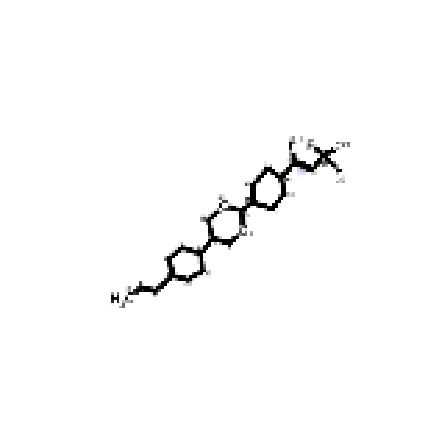 CCCC1CCC(C2COC(C3CCC(/C(F)=C/C(F)(F)F)CC3)OC2)CC1